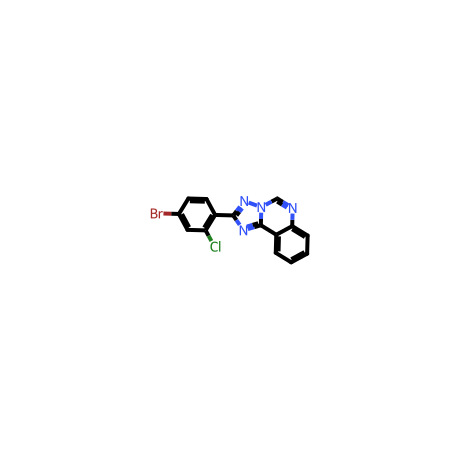 Clc1cc(Br)ccc1-c1nc2c3ccccc3ncn2n1